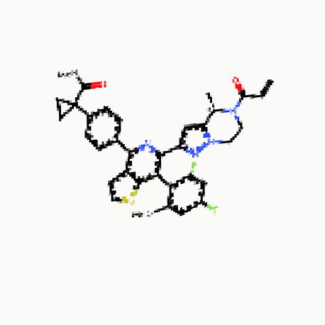 C=CC(=O)N1CCn2nc(-c3nc(-c4ccc(C5(C(=O)NC)CC5)cc4)c4ccsc4c3-c3c(F)cc(F)cc3OC)cc2[C@H]1C